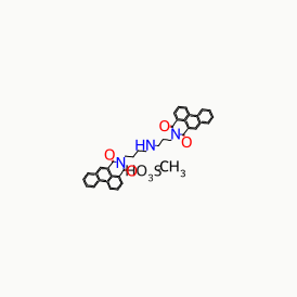 CS(=O)(=O)O.O=C1c2cccc3c2c(cc2ccccc23)C(=O)N1CCCCNCCCN1C(=O)c2cccc3c2c(cc2ccccc23)C1=O